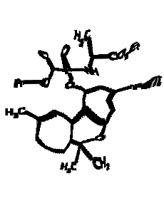 CCCCCc1cc2c(c(OP(=O)(NC(C)C(=O)OCC)C(=O)OC(C)C)c1)C1C=C(C)CCC1C(C)(C)O2